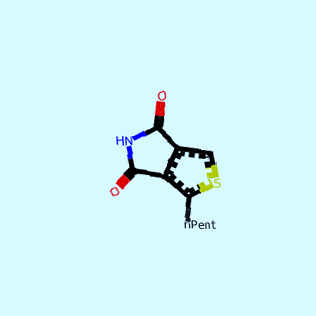 CCCCCc1scc2c1C(=O)NC2=O